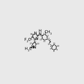 Cc1cc(SCc2ccccc2)ccc1Nc1ncc(C(F)(F)F)c(-c2cnn(C)c2)n1